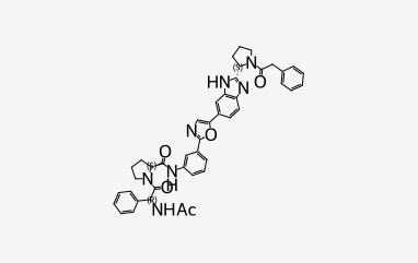 CC(=O)N[C@@H](C(=O)N1CCC[C@H]1C(=O)Nc1cccc(-c2ncc(-c3ccc4nc([C@@H]5CCCN5C(=O)Cc5ccccc5)[nH]c4c3)o2)c1)c1ccccc1